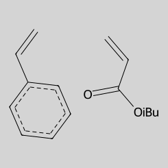 C=CC(=O)OCC(C)C.C=Cc1ccccc1